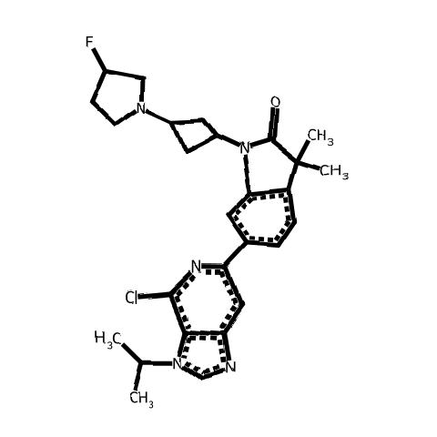 CC(C)n1cnc2cc(-c3ccc4c(c3)N(C3CC(N5CCC(F)C5)C3)C(=O)C4(C)C)nc(Cl)c21